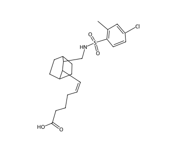 Cc1cc(Cl)ccc1S(=O)(=O)NCC1C2CCC(CC2)C1/C=C\CCCC(=O)O